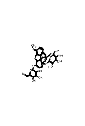 COc1ccc2c3c1OC1C(OC4OC(CO)C(O)C(O)C4O)=CCC4(OC5OC(CO)C(O)C(O)C5O)C(C2)N(C)CCC314